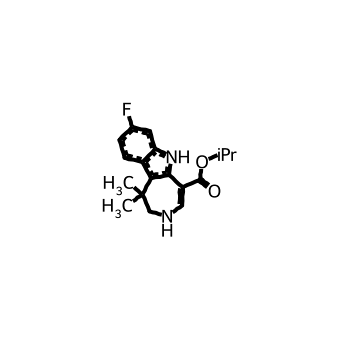 CC(C)OC(=O)C1=CNCC(C)(C)c2c1[nH]c1cc(F)ccc21